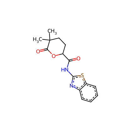 CC1(C)CCC(C(=O)Nc2nc3ccccc3s2)OC1=O